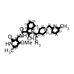 COc1cc(C)[nH]c(=O)c1CNC(=O)c1c(C)n([C@H](C)C2CCN(Cc3cccc(C)n3)CC2)c2ccccc12